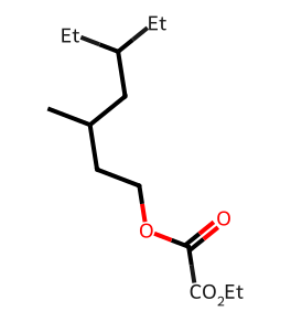 CCOC(=O)C(=O)OCCC(C)CC(CC)CC